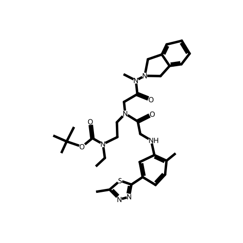 CCN(CCN(CC(=O)N(C)N1Cc2ccccc2C1)C(=O)CNc1cc(-c2nnc(C)s2)ccc1C)C(=O)OC(C)(C)C